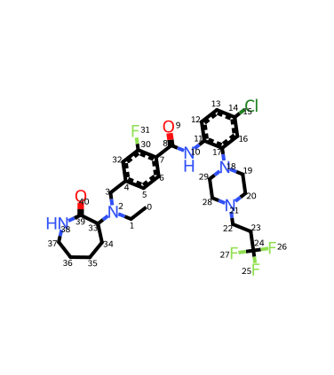 CCN(Cc1ccc(C(=O)Nc2ccc(Cl)cc2N2CCN(CCC(F)(F)F)CC2)c(F)c1)C1CCCCNC1=O